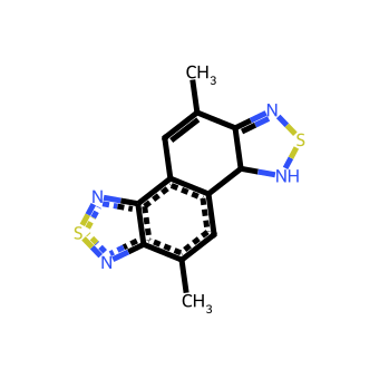 CC1=Cc2c(cc(C)c3nsnc23)C2NSN=C12